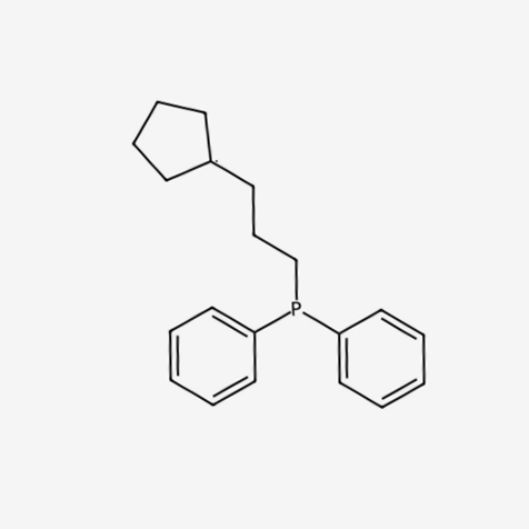 c1ccc(P(CCC[C]2CCCC2)c2ccccc2)cc1